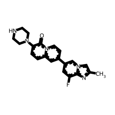 Cc1cn2cc(-c3ccn4c(=O)c(N5CCNCC5)ccc4c3)cc(F)c2n1